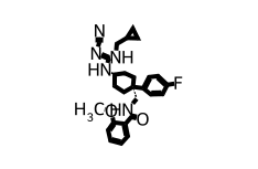 COc1ccccc1C(=O)NC[C@]1(c2ccc(F)cc2)CC[C@H](N/C(=N/C#N)NCC2CC2)CC1